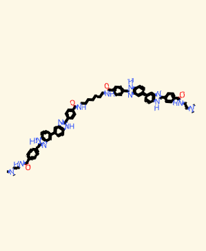 CN(C)CCNC(=O)c1ccc(-c2nc3cc(-c4ccc5[nH]c(-c6ccc(C(=O)NCCCCCCCNC(=O)c7ccc(-c8nc9cc(-c%10ccc%11[nH]c(-c%12ccc(C(=O)NCCN(C)C)cc%12)nc%11c%10)ccc9[nH]8)cc7)cc6)nc5c4)ccc3[nH]2)cc1